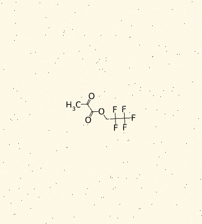 CC(=O)C(=O)OCC(F)(F)C(F)(F)F